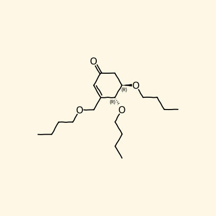 CCCCOCC1=CC(=O)C[C@@H](OCCCC)[C@@H]1OCCCC